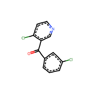 O=C(c1cccc(Cl)c1)c1cnccc1Cl